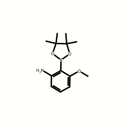 COc1cccc(N)c1B1OC(C)(C)C(C)(C)O1